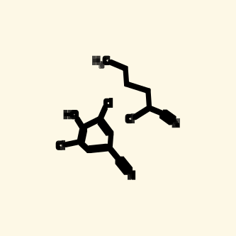 CCCCC(Cl)C#N.N#Cc1cc(Cl)c(O)c(Cl)c1